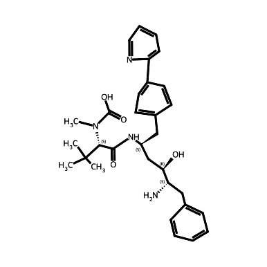 CN(C(=O)O)[C@H](C(=O)N[C@@H](Cc1ccc(-c2ccccn2)cc1)C[C@@H](O)[C@@H](N)Cc1ccccc1)C(C)(C)C